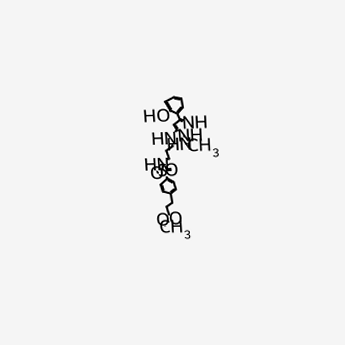 CNN/C(=C\C(=N)c1ccccc1O)NCCCNS(=O)(=O)c1ccc(CCC(=O)OC)cc1